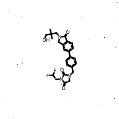 CC(C)(CO)CN1Cc2cc(-c3ccc(CN4CC(=O)N(CC(F)F)C4=O)cc3)ccc2C1=O